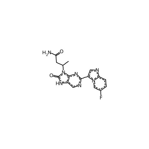 CC(CC(N)=O)n1c(=O)[nH]c2cnc(-c3cnc4ccc(F)cn34)nc21